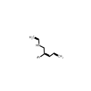 C=C/C=C(\CNC=C)C(C)C